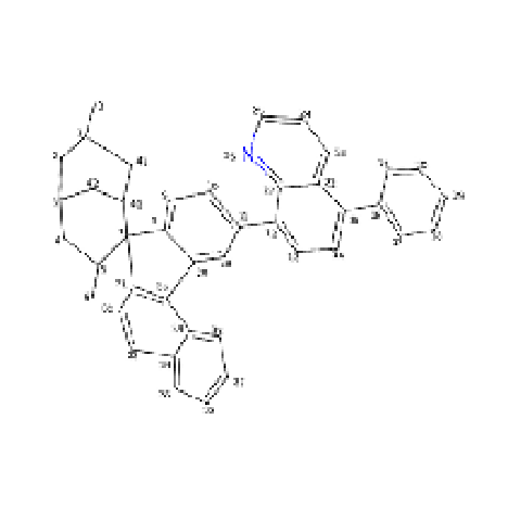 CC1CC2CC(C)C3(c4ccc(-c5ccc(-c6ccccc6)c6cccnc56)cc4-c4c3ccc3ccccc43)C(C1)C2